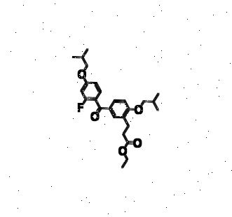 CCOC(=O)CCc1cc(C(=O)c2ccc(OCC(C)C)cc2F)ccc1OCC(C)C